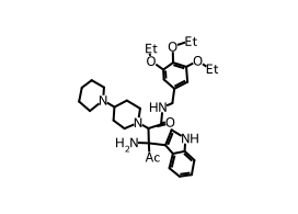 CCOc1cc(CNC(=O)C(N2CCC(N3CCCCC3)CC2)C(N)(C(C)=O)c2c[nH]c3ccccc23)cc(OCC)c1OCC